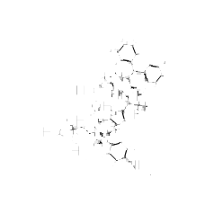 COC(=O)N[C@H](C(=O)N[C@H](c1ccc([C@@H](CO)N(CCC(C)(C)C)S(=O)(=O)c2ccc(N)cc2)s1)C(F)(F)F)C(c1ccccc1)c1ccccc1